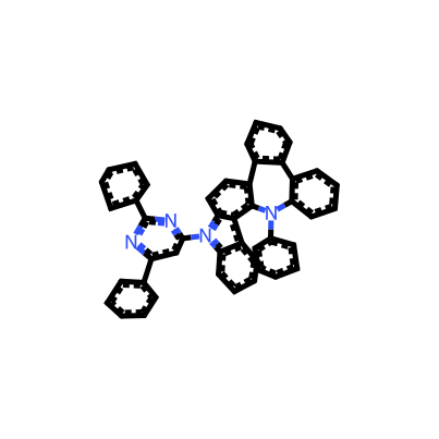 c1ccc(-c2cc(-n3c4ccccc4c4c5c(ccc43)-c3ccccc3-c3ccccc3N5c3ccccc3)nc(-c3ccccc3)n2)cc1